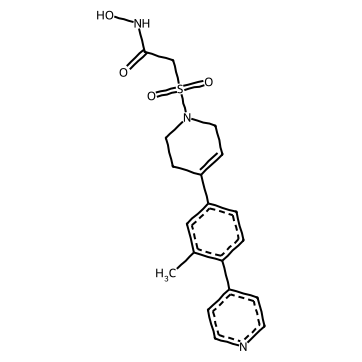 Cc1cc(C2=CCN(S(=O)(=O)CC(=O)NO)CC2)ccc1-c1ccncc1